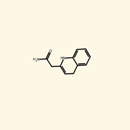 NC(=O)CC1=CCc2ccccc2N1